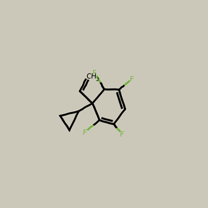 C=CC1(C2CC2)C(F)=C(F)C=C(F)C1F